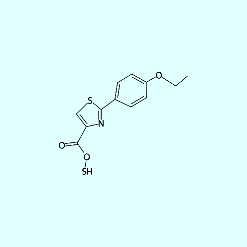 CCOc1ccc(-c2nc(C(=O)OS)cs2)cc1